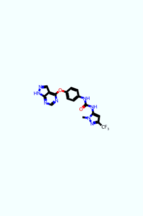 Cn1nc(C(F)(F)F)cc1NC(=O)Nc1ccc(Oc2ncnc3[nH]ncc23)cc1